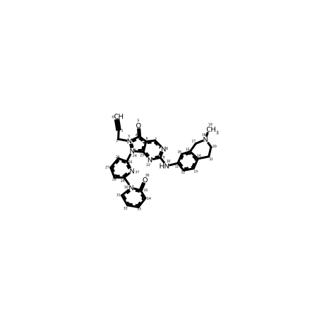 C#CCn1c(=O)c2cnc(Nc3ccc4c(c3)CN(C)CC4)nc2n1-c1cccc(-n2ccccc2=O)n1